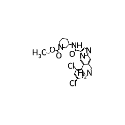 CCOC(=O)N1CCCC(NC(=O)c2cnc3cc(CN)c(-c4ccc(Cl)cc4Cl)cn23)C1